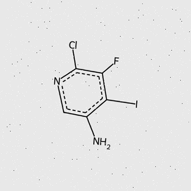 Nc1cnc(Cl)c(F)c1I